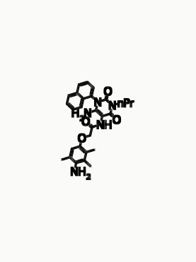 CCCn1c(=O)c(NC(=O)COc2cc(C)c(N)c(C)c2C)c(N)n(-c2cccc3ccccc23)c1=O